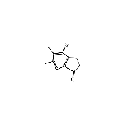 Cc1cc2c(c(Br)c1C)CCC2=O